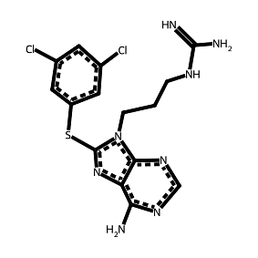 N=C(N)NCCCn1c(Sc2cc(Cl)cc(Cl)c2)nc2c(N)ncnc21